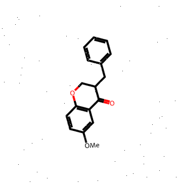 COc1ccc2c(c1)C(=O)C(Cc1ccccc1)CO2